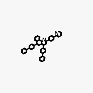 c1ccc(-c2ccc(-c3cc4c(-c5ccc(-c6ccccc6)cc5)cc(-c5ccc(-c6ccccn6)cc5)nc4c4ccccc34)cc2)cc1